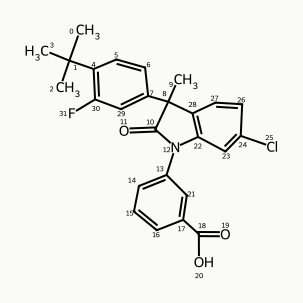 CC(C)(C)c1ccc(C2(C)C(=O)N(c3cccc(C(=O)O)c3)c3cc(Cl)ccc32)cc1F